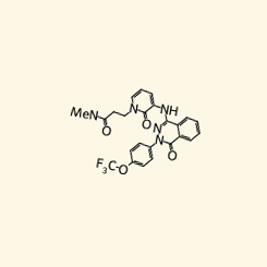 CNC(=O)CCn1cccc(Nc2nn(-c3ccc(OC(F)(F)F)cc3)c(=O)c3ccccc23)c1=O